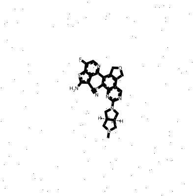 CN1C[C@@H]2CN(c3ncc4c5c(c(-c6ncc(F)c7sc(N)c(C#N)c67)c(F)c4n3)COC5)C[C@@H]2C1